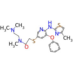 Cc1csc(Nc2ncc(SCC(=O)N(C)CCN(C)C)cc2Oc2ccccc2)n1